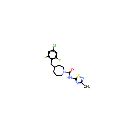 Cc1nsc(NC(=O)N2CCCC(Cc3c(F)cc(Cl)cc3F)CC2)n1